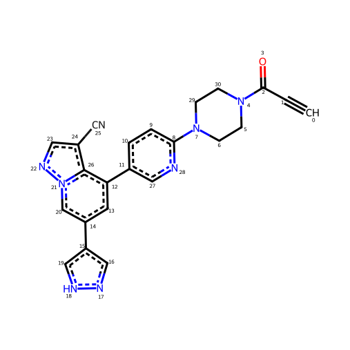 C#CC(=O)N1CCN(c2ccc(-c3cc(-c4cn[nH]c4)cn4ncc(C#N)c34)cn2)CC1